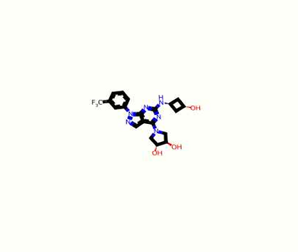 O[C@@H]1CN(c2nc(N[C@H]3C[C@@H](O)C3)nc3c2cnn3-c2cccc(C(F)(F)F)c2)C[C@H]1O